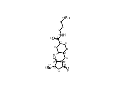 CC(C)(C)CCCNC(=O)C1CCC(CN2C(=O)CC(C(C)(C)C)C2=O)CC1